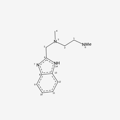 CNCCN(C)Cc1nc2ccccc2[nH]1